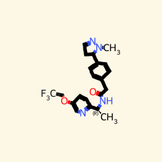 C[C@@H](NC(=O)Cc1ccc(C2CC=NN2C)cc1)c1ccc(OCC(F)(F)F)cn1